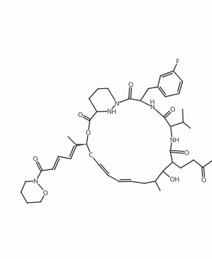 CC(=O)CCC1C(=O)NC(C(C)C)C(=O)NC(Cc2cccc(F)c2)C(=O)N2CCCC(N2)C(=O)O[C@H](/C(C)=C/C=C/C(=O)N2CCCCO2)C/C=C/C=C/CC(C)C1O